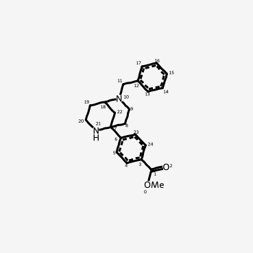 COC(=O)c1ccc(C23CCN(Cc4ccccc4)C(CCN2)C3)cc1